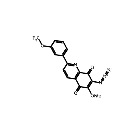 COC1=C(N=[N+]=[N-])C(=O)c2nc(-c3cccc(OC(F)(F)F)c3)ccc2C1=O